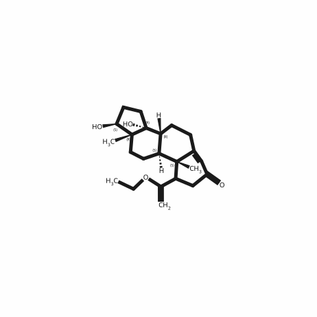 C=C(OCC)C1CC(=O)C=C2CC[C@@H]3[C@H](CC[C@]4(C)[C@@H](O)CC[C@@]34O)[C@]21C